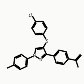 C=C(C)c1ccc(-c2nn(-c3ccc(C)cc3)cc2Sc2ccc(Cl)cc2)cc1